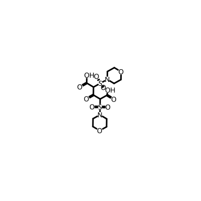 O=C(O)C(C(=O)C(C(=O)O)S(=O)(=O)N1CCOCC1)S(=O)(=O)N1CCOCC1